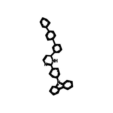 C1=CC(c2cccc(-c3ccc(-c4ccccc4)cc3)c2)NC(c2ccc(-n3c4ccccc4c4ccccc43)cc2)=N1